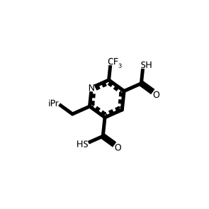 CC(C)Cc1nc(C(F)(F)F)c(C(=O)S)cc1C(=O)S